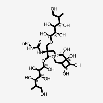 CCCNC(=S)NC(CO[C@@H](O)C(O)[C@@H](O)[C@H](O)C(C)CO)(CO[C@@H](O)[C@H](O)C(O)[C@@H](O)C(C)CO)CO[C@H](O)[C@]1(O)C(O)[C@H](O)C1CO